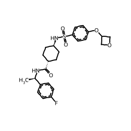 C[C@@H](NC(=O)[C@H]1CC[C@H](NS(=O)(=O)c2ccc(OC3COC3)cc2)CC1)c1ccc(F)cc1